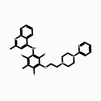 Cc1cc(Nc2c(F)c(C)c(F)c(OCCN3CCN(c4ccccn4)CC3)c2F)c2ccccc2n1